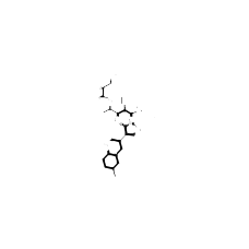 Cc1ccc2ncc(-c3cnn4c(N)c(Br)c(C(C)NC(=O)[C@H](C)CO)nc34)cc2c1